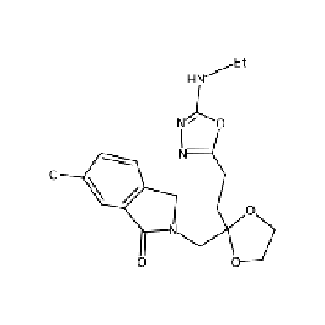 CCNc1nnc(CCC2(CN3Cc4ccc(Cl)cc4C3=O)OCCO2)o1